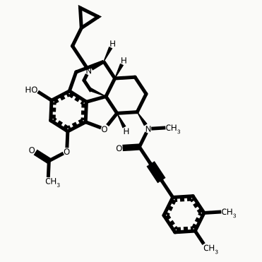 CC(=O)Oc1cc(O)c2c3c1O[C@H]1[C@H](N(C)C(=O)C#Cc4ccc(C)c(C)c4)CC[C@H]4[C@@H](C2)N(CC2CC2)CC[C@@]341